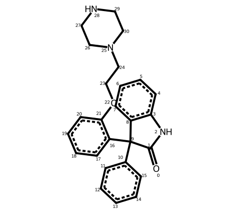 O=C1Nc2ccccc2C1(c1ccccc1)c1ccccc1OCCN1CCNCC1